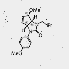 COc1ccc(N2C(=O)N(CC(C)C)[C@@H]3[C@H]2C=C[C@H]3OC)cc1